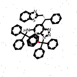 c1ccc([C@@H](Cc2nc3ccccc3s2)c2cc(NC(c3ccccc3)(c3ccccc3)c3ccccc3)nc3c2nnn3C(c2ccccc2)(c2ccccc2)c2ccccc2)cc1